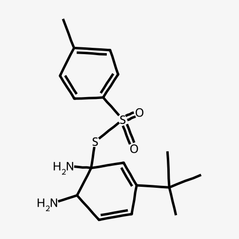 Cc1ccc(S(=O)(=O)SC2(N)C=C(C(C)(C)C)C=CC2N)cc1